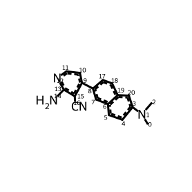 CN(C)c1ccc2cc(-c3ccnc(N)c3C#N)ccc2c1